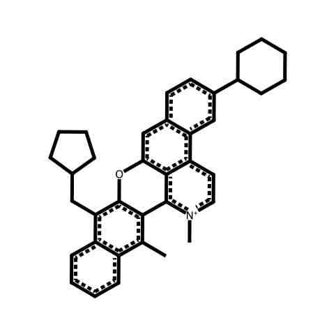 Cc1c2c(c(CC3CCCC3)c3ccccc13)Oc1cc3ccc(C4CCCCC4)cc3c3cc[n+](C)c-2c13